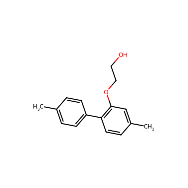 Cc1ccc(-c2ccc(C)cc2OCCO)cc1